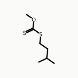 COC(=S)SCCC(C)C